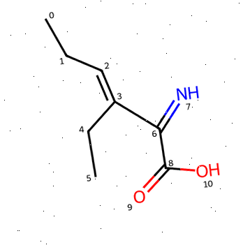 CC/C=C(\CC)C(=N)C(=O)O